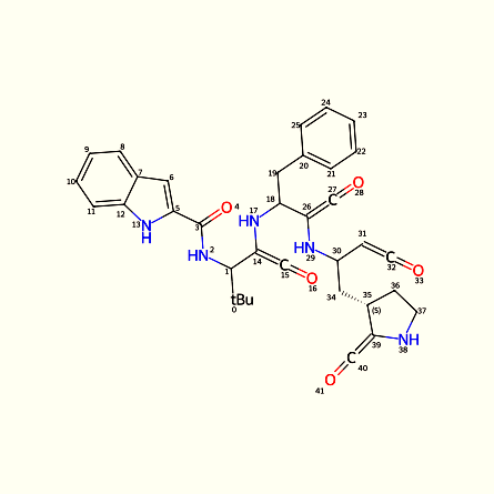 CC(C)(C)C(NC(=O)c1cc2ccccc2[nH]1)C(=C=O)NC(Cc1ccccc1)C(=C=O)NC(C=C=O)C[C@@H]1CCNC1=C=O